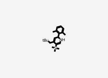 Cc1cccc(C)c1C1C=C(CC(C)(C)C)C([Si](C)(C)C)=CN1